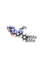 COc1ccc(-c2cn(CC(C)C)c3nc(C(=O)N4CCNC(=O)C4(C)C)ccc23)cc1OC